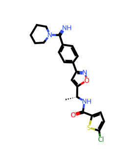 C[C@@H](NC(=O)c1ccc(Cl)s1)c1cc(-c2ccc(C(=N)N3CCCCC3)cc2)no1